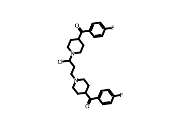 O=C(c1ccc(F)cc1)C1CCN(CCC(Cl)N2CCC(C(=O)c3ccc(F)cc3)CC2)CC1